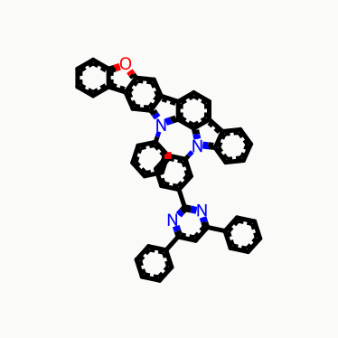 c1ccc(-c2cc(-c3ccccc3)nc(-c3cccc(-n4c5ccccc5c5ccc6c7cc8oc9ccccc9c8cc7n(-c7ccccc7)c6c54)c3)n2)cc1